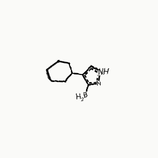 Bc1n[nH]cc1C1CCCCC1